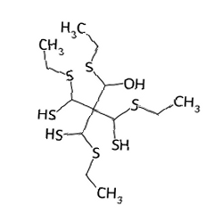 CCSC(O)C(C(S)SCC)(C(S)SCC)C(S)SCC